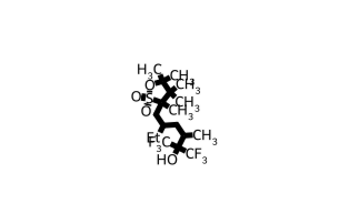 CCC(CC(C)C(O)(C(F)(F)F)C(F)(F)F)CC1(C)C(C)(C)C(C)(C)OS1(=O)=O